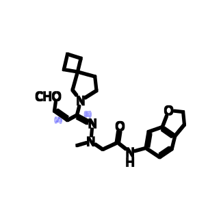 CN(CC(=O)Nc1ccc2c(c1)OCC2)/N=C(\C=C/C=O)N1CCC2(CCC2)C1